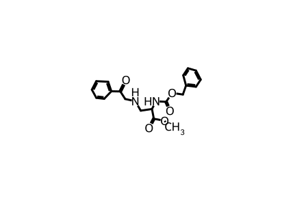 COC(=O)C(CNCC(=O)c1ccccc1)NC(=O)OCc1ccccc1